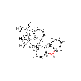 CC(C)(C)c1cccc(-c2cccc3oc4ccccc4c23)c1C(C)(C)C